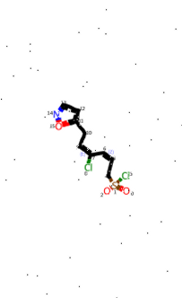 O=S(=O)(Cl)C/C=C\C(Cl)=C/Cc1ccno1